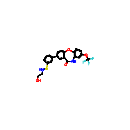 O=C1Nc2cc(OC(F)(F)F)ccc2Oc2ccc(-c3cccc(SNCCO)c3)cc21